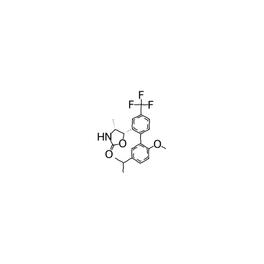 COc1ccc(C(C)C)cc1-c1ccc(C(F)(F)F)cc1[C@@H]1OC(=O)N[C@@H]1C